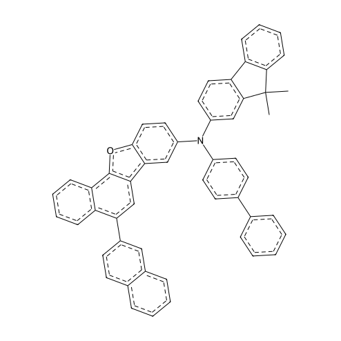 CC1(C)c2ccccc2-c2ccc(N(c3ccc(-c4ccccc4)cc3)c3ccc4oc5c6ccccc6c(-c6ccc7ccccc7c6)cc5c4c3)cc21